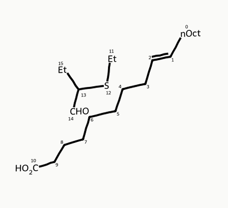 CCCCCCCCC=CCCCCCCCC(=O)O.CCSC(C=O)CC